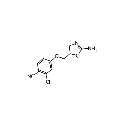 N#Cc1ccc(OCC2CN=C(N)O2)cc1Cl